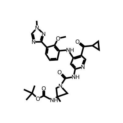 COc1c(Nc2cc(NC(=O)N3CC(C)(NC(=O)OC(C)(C)C)C3)ncc2C(=O)C2CC2)cccc1-c1ncn(C)n1